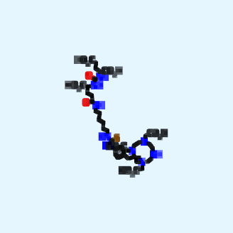 O=C(O)CC[C@H](NC(=O)N[C@@H](CCC(=O)NCCCCCCNC(=S)Nc1ccc(CC2CN(CC(=O)O)CCNCCN(CC(=O)O)CCN2CC(=O)O)cc1)C(=O)O)C(=O)O